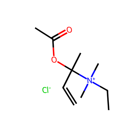 C=CC(C)(OC(C)=O)[N+](C)(C)CC.[Cl-]